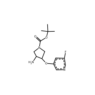 CC(C)(C)OC(=O)N1CC(N)C(Oc2cncc(F)c2)C1